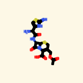 CC(=O)OCC1=C(C(=O)O)N2C(=O)[C@@H](NC(=O)C(N)c3csc(=N)[nH]3)C2SC1